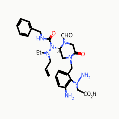 C=CCN(CC)N(C(=O)NCc1ccccc1)[C@H]1CN(Cc2cccc(N)c2N(N)CC(=O)O)C(=O)CN1C=O